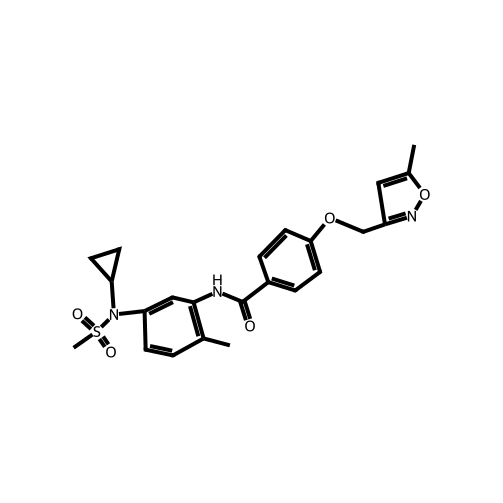 Cc1cc(COc2ccc(C(=O)Nc3cc(N(C4CC4)S(C)(=O)=O)ccc3C)cc2)no1